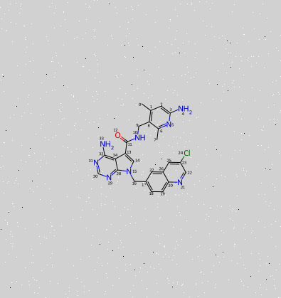 Cc1cc(N)nc(C)c1CNC(=O)c1cn(Cc2ccc3ncc(Cl)cc3c2)c2ncnc(N)c12